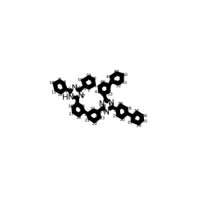 c1ccc(C2=NC(c3ccccc3)NC(c3cccc(-c4cccc(-c5nc(-c6ccc(-c7ccccc7)cc6)nc(-c6cccc(-c7ccccc7)c6)n5)c4)c3)=N2)cc1